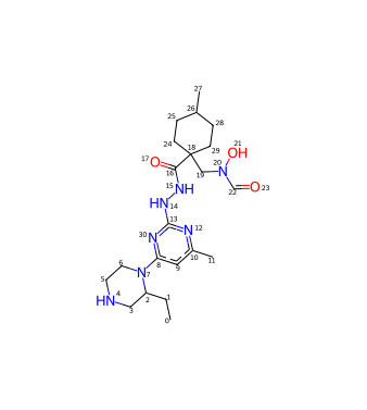 CCC1CNCCN1c1cc(C)nc(NNC(=O)C2(CN(O)C=O)CCC(C)CC2)n1